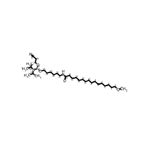 COCCCCCCCCCCCCCCCC(=O)NCCCCCCOP(OCCC#N)N(C(C)C)C(C)C